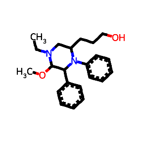 CCN1CC(CCCO)N(c2ccccc2)C(c2ccccc2)C1OC